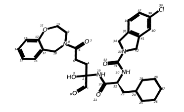 O=CC(O)(CCC(=O)N1CCOc2ccccc2C1)NC(=O)[C@H](CC1CCCCC1)NC(=O)N1Cc2ccc(Cl)cc2C1